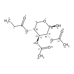 CCC(=O)O[C@@H]1CO[C@@H](O)[C@H](OC(C)=O)[C@H]1OC(C)=O